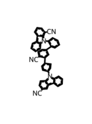 N#Cc1ccc2c(c1)c1ccccc1n2-c1ccc(-c2cc(-c3ccccc3-n3c4ccccc4c4cccc(C#N)c43)ccc2C#N)cc1